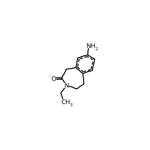 CCN1CCc2ccc(N)cc2CC1=O